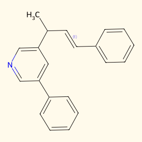 CC(/C=C/c1ccccc1)c1cncc(-c2ccccc2)c1